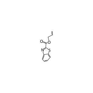 C=CCOC(=O)c1nc2ccccc2s1